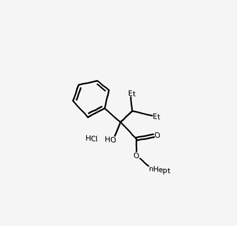 CCCCCCCOC(=O)C(O)(c1ccccc1)C(CC)CC.Cl